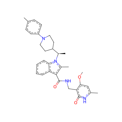 COc1cc(C)[nH]c(=O)c1CNC(=O)c1c(C)n([C@H](C)C2CCN(c3ccc(C)cc3)CC2)c2ccccc12